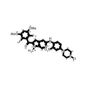 CCN1CCN(c2ccc(Nc3cc4cc(C(=O)c5c(F)c(OC)cc(OC)c5F)n(C)c4cn3)c([N+](=O)[O-])c2)CC1